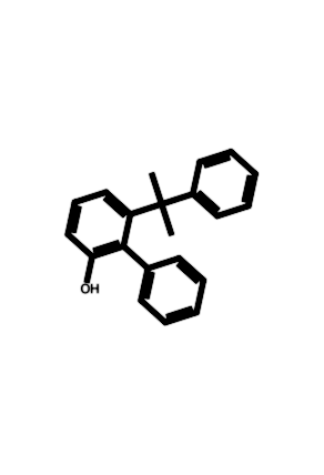 CC(C)(c1ccccc1)c1cccc(O)c1-c1ccccc1